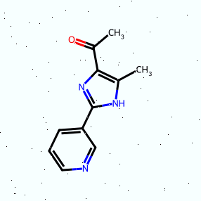 CC(=O)c1nc(-c2cccnc2)[nH]c1C